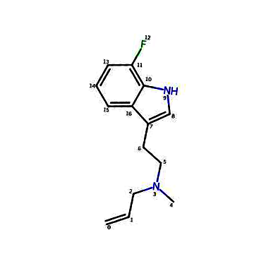 C=CCN(C)CCc1c[nH]c2c(F)cccc12